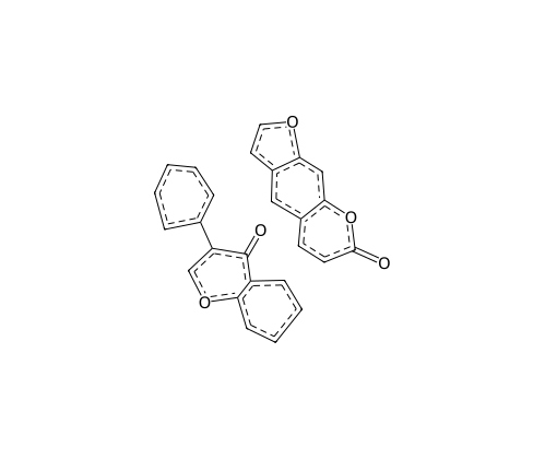 O=c1c(-c2ccccc2)coc2ccccc12.O=c1ccc2cc3ccoc3cc2o1